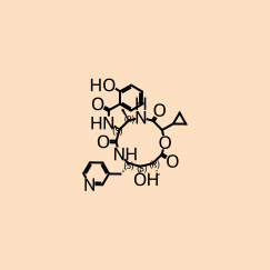 C[C@H]1NC(=O)C(C2CC2)OC(=O)[C@H](C)[C@H](O)[C@H](Cc2cccnc2)NC(=O)[C@H]1NC(=O)c1ccccc1O